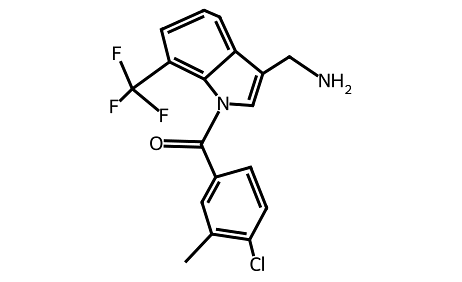 Cc1cc(C(=O)n2cc(CN)c3cccc(C(F)(F)F)c32)ccc1Cl